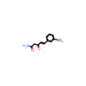 NC(=O)CC(=O)C=Cc1cccc([N+](=O)[O-])c1